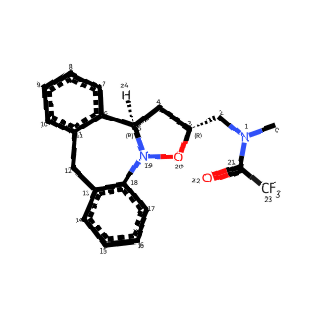 CN(C[C@H]1C[C@@H]2c3ccccc3Cc3ccccc3N2O1)C(=O)C(F)(F)F